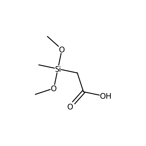 CO[Si](C)(CC(=O)O)OC